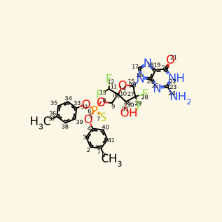 Cc1ccc(OP(=S)(OC[C@@]2(C(F)F)O[C@@H](n3cnc4c(=O)[nH]c(N)nc43)C(F)(F)[C@@H]2O)Oc2ccc(C)cc2)cc1